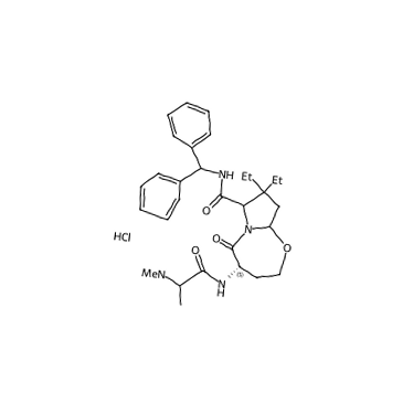 CCC1(CC)CC2OCC[C@H](NC(=O)C(C)NC)C(=O)N2C1C(=O)NC(c1ccccc1)c1ccccc1.Cl